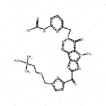 Cn1c2nc(C(=O)c3ccn(COCC[Si](C)(C)C)n3)sc2c2cnn(Cc3cccc(NC(=O)O)n3)c(=O)c21